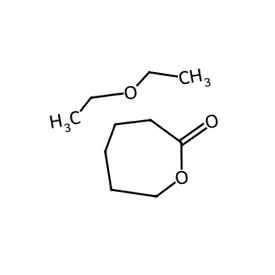 CCOCC.O=C1CCCCCO1